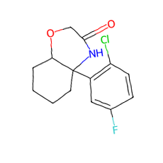 O=C1COC2CCCCC2(c2cc(F)ccc2Cl)N1